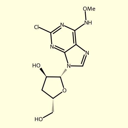 CONc1nc(Cl)nc2c1ncn2[C@@H]1O[C@H](CO)C[C@H]1O